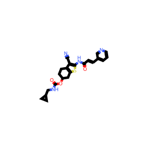 N#Cc1c(NC(=O)C=Cc2cccnc2)sc2c1CCC(OC(=O)NCC1CC1)C2